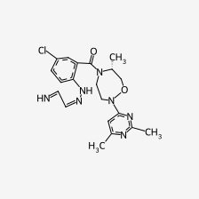 Cc1cc(N2CCN(C(=O)c3cc(Cl)ccc3N/N=C\C=N)[C@H](C)CO2)nc(C)n1